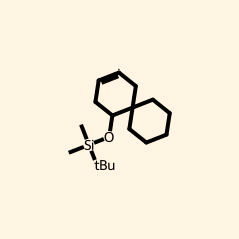 CC(C)(C)[Si](C)(C)OC1CC=[C]CC12CCCCC2